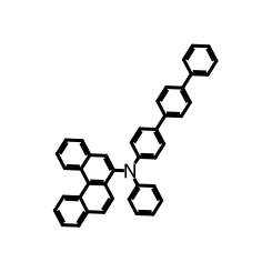 c1ccc(-c2ccc(-c3ccc(N(c4ccccc4)c4cc5ccccc5c5c4ccc4ccccc45)cc3)cc2)cc1